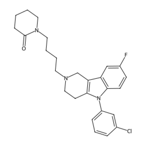 O=C1CCCCN1CCCCN1CCc2c(c3cc(F)ccc3n2-c2cccc(Cl)c2)C1